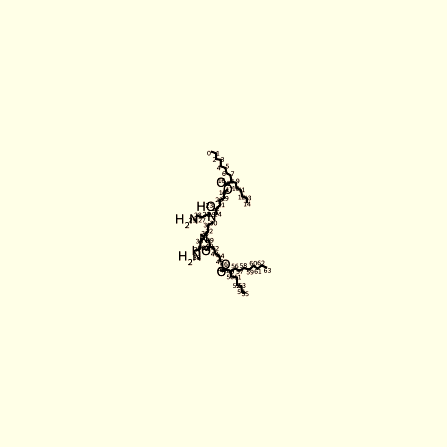 CCCCCCCCC(CCCCCC)C(=O)OCCCCC(O)CN(CCCN)CCCCN(CCCN)CC(O)CCCCOC(=O)C(CCCCCC)CCCCCCCC